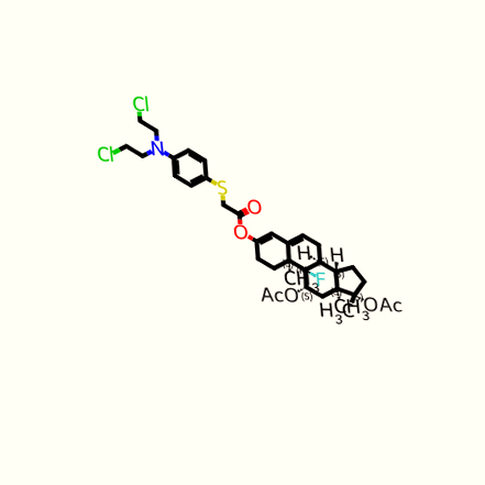 CC(=O)O[C@H]1C[C@@]2(C)[C@@H](CC[C@]2(C)OC(C)=O)[C@@H]2CC=C3C=C(OC(=O)CSc4ccc(N(CCCl)CCCl)cc4)CC[C@]3(C)[C@@]12F